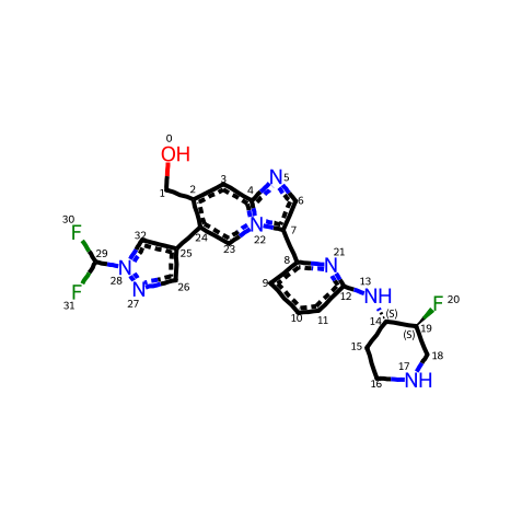 OCc1cc2ncc(-c3cccc(N[C@H]4CCNC[C@@H]4F)n3)n2cc1-c1cnn(C(F)F)c1